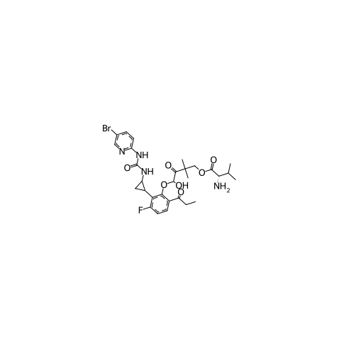 CCC(=O)c1ccc(F)c(C2CC2NC(=O)Nc2ccc(Br)cn2)c1OC(O)C(=O)C(C)(C)COC(=O)[C@@H](N)C(C)C